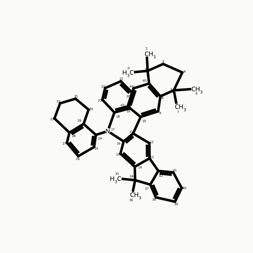 CC1(C)CCC(C)(C)c2cc(-c3cc4c(cc3N(c3ccccc3)c3cccc5c3CCCC5)C(C)(C)c3ccccc3-4)ccc21